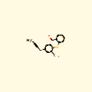 CC#CCc1ccc(Sc2ccccc2C=O)c(C)c1